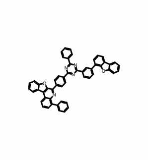 c1ccc(-c2nc(-c3ccc(-c4nc5c(-c6ccccc6)cccc5c5c4oc4ccccc45)cc3)nc(-c3cccc(-c4cccc5c4oc4ccccc45)c3)n2)cc1